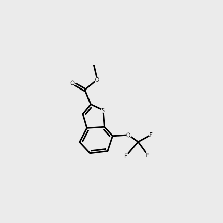 COC(=O)c1cc2cccc(OC(F)(F)F)c2s1